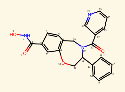 O=C(NO)c1ccc2c(c1)OCC(c1ccccc1)N(C(=O)c1cccnc1)C2